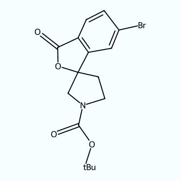 CC(C)(C)OC(=O)N1CCC2(C1)OC(=O)c1ccc(Br)cc12